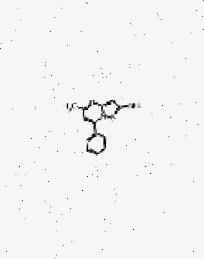 CCCCc1cc2nc(C)cc(-c3ccccc3)n2n1